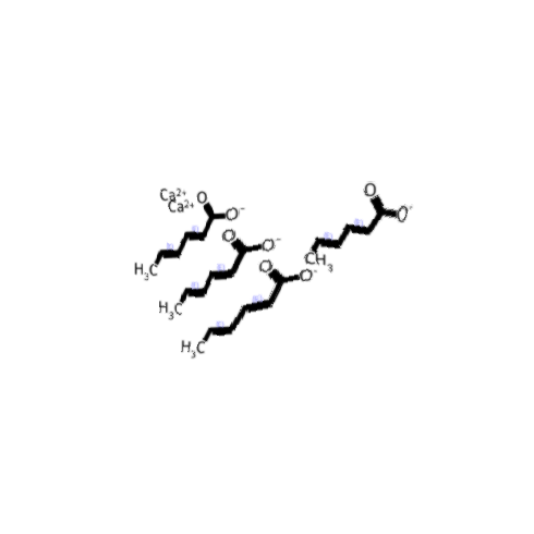 C/C=C/C=C/C(=O)[O-].C/C=C/C=C/C(=O)[O-].C/C=C/C=C/C(=O)[O-].C/C=C/C=C/C(=O)[O-].[Ca+2].[Ca+2]